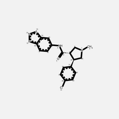 CN1C[C@@H](C(=O)Nc2ccc3nnsc3c2)[C@H](c2ccc(Cl)cc2)C1